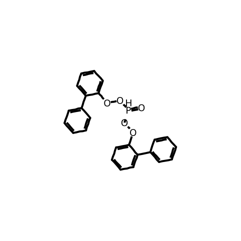 O=[PH](OOc1ccccc1-c1ccccc1)OOc1ccccc1-c1ccccc1